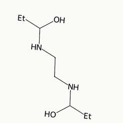 CCC(O)NCCNC(O)CC